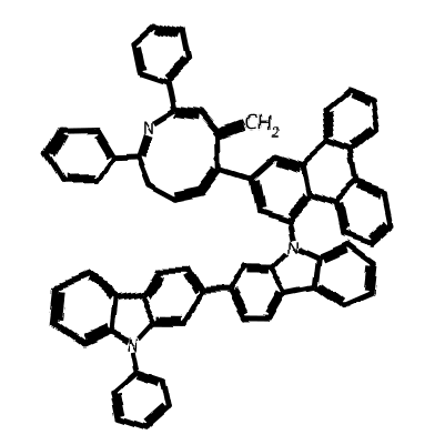 C=C1/C=C(c2ccccc2)\N=C(\c2ccccc2)CC=C=C1c1cc(-n2c3ccccc3c3ccc(-c4ccc5c6ccccc6n(-c6ccccc6)c5c4)cc32)c2c3ccccc3c3ccccc3c2c1